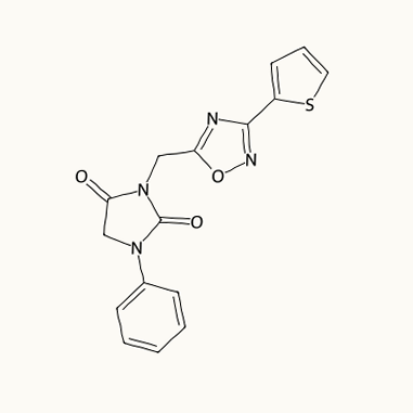 O=C1CN(c2ccccc2)C(=O)N1Cc1nc(-c2cccs2)no1